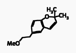 COCCc1ccc2c(c1)C=CC(C)(C)O2